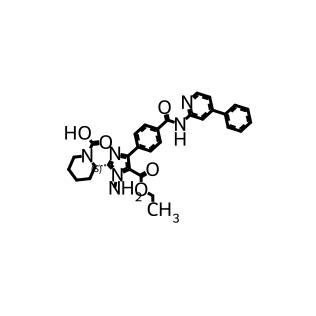 CCOC(=O)c1c(-c2ccc(C(=O)Nc3cc(-c4ccccc4)ccn3)cc2)nc([C@@H]2CCCCN2C(=O)O)n1N